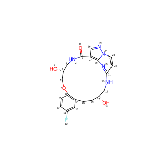 O=C1NC[C@@H](O)COc2ccc(F)cc2CC[C@@H](O)CNc2ccn3ncc1c3n2